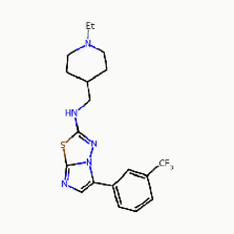 CCN1CCC(CNc2nn3c(-c4cccc(C(F)(F)F)c4)cnc3s2)CC1